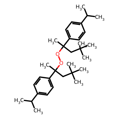 CC(C)c1ccc(C(C)(CC(C)(C)C)OOC(C)(CC(C)(C)C)c2ccc(C(C)C)cc2)cc1